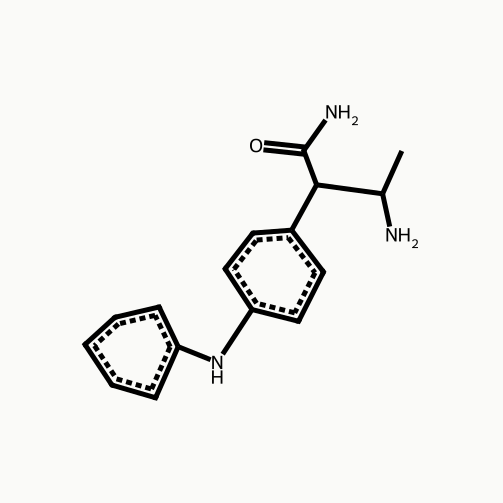 CC(N)C(C(N)=O)c1ccc(Nc2ccccc2)cc1